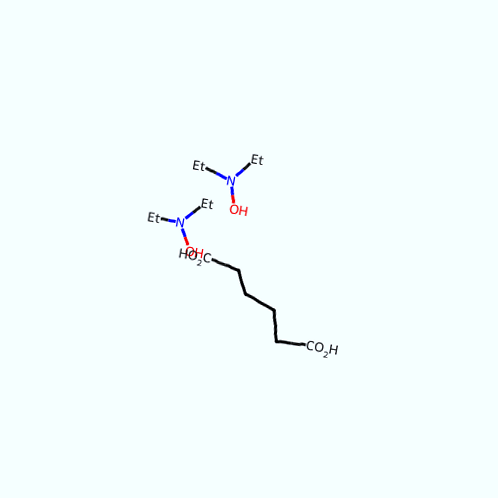 CCN(O)CC.CCN(O)CC.O=C(O)CCCCC(=O)O